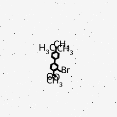 COC(=O)c1ccc(-c2ccc(C(C)(C)C)cc2)cc1CBr